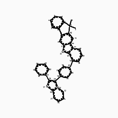 CC1(C)c2ccccc2-c2cc3oc4c(-c5ccc(-c6c(-c7ccccc7)nc7ccccn67)cc5)cccc4c3cc21